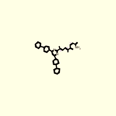 C=C(N)/C=C\C(=C)/C(C)=C/C=C(\C)c1nc(-c2ccc(-c3ccccc3)cc2)cc(-c2ccc(-c3ccccc3)cc2)n1